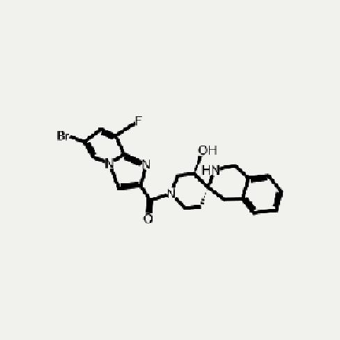 O=C(c1cn2cc(Br)cc(F)c2n1)N1CC[C@]2(Cc3ccccc3CN2)[C@H](O)C1